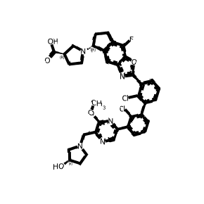 COc1nc(-c2cccc(-c3cccc(-c4nc5cc6c(c(F)c5o4)CC[C@H]6N4CC[C@@H](C(=O)O)C4)c3Cl)c2Cl)cnc1CN1CC[C@@H](O)C1